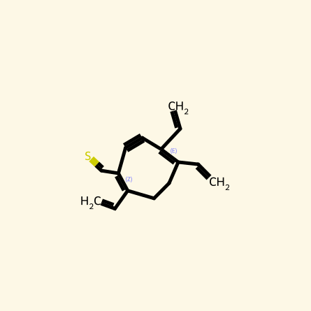 C=C/C1=C(\C=S)C#C/C(C=C)=C(/C=C)CC1